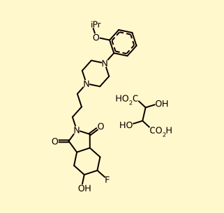 CC(C)Oc1ccccc1N1CCN(CCCN2C(=O)C3CC(O)C(F)CC3C2=O)CC1.O=C(O)C(O)C(O)C(=O)O